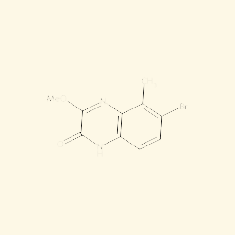 COc1nc2c(C)c(Br)ccc2[nH]c1=O